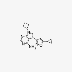 Nc1ncnc2c1c(-c1cc(C3CC3)on1)cn2C1CCC1